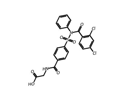 O=C(O)CNC(=O)c1ccc(S(=O)(=O)N(C(=O)c2ccc(Cl)cc2Cl)c2ccccc2)cc1